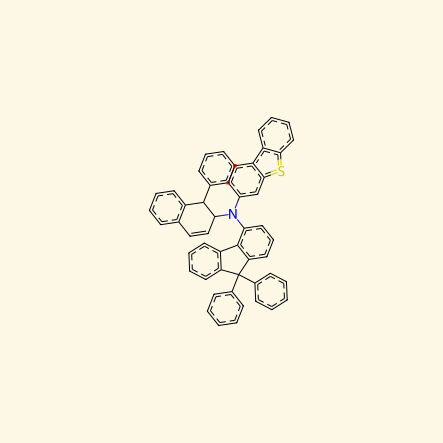 C1=CC(N(c2ccc3c(c2)sc2ccccc23)c2cccc3c2-c2ccccc2C3(c2ccccc2)c2ccccc2)C(c2ccccc2)c2ccccc21